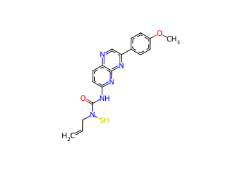 C=CCN(S)C(=O)Nc1ccc2ncc(-c3ccc(OC)cc3)nc2n1